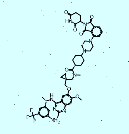 COc1cc2nc(C)nc(N[C@H](C)c3cc(N)cc(C(F)(F)F)c3)c2cc1OCC1(CN(C)C(=O)C2CCC(N3CCN(c4cccc5c4C(=O)N(C4CCC(=O)NC4=O)C5=O)CC3)CC2)CC1